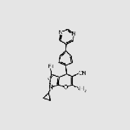 CCc1nn(C2CC2)c2c1C(c1ccc(-c3cncnc3)cc1)C(C#N)=C(N)O2